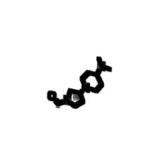 CN(C)C1CCN([C@H]2CCN([C]=O)C2)CC1